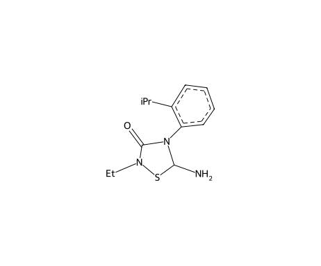 CCN1SC(N)N(c2ccccc2C(C)C)C1=O